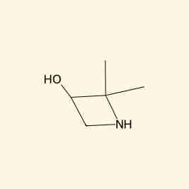 CC1(C)NCC1O